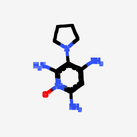 Nc1cc(N)[n+]([O-])c(N)c1N1CCCC1